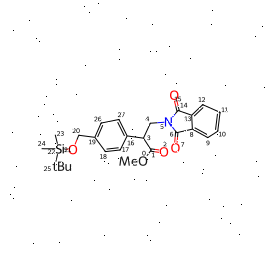 COC(=O)C(CN1C(=O)c2ccccc2C1=O)c1ccc(CO[Si](C)(C)C(C)(C)C)cc1